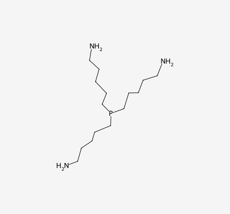 NCCCCCP(CCCCCN)CCCCCN